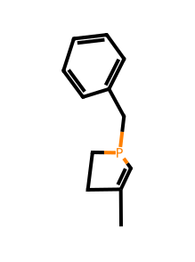 CC1=CP(Cc2ccccc2)CC1